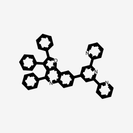 c1ccc(-c2oc3c(c(-c4ccccc4)nc4ccc(-c5cc(-c6ccccn6)nc(-c6ccccn6)c5)cc43)c2-c2ccccc2)cc1